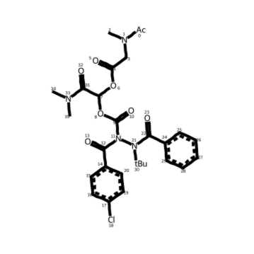 CC(=O)N(C)CC(=O)OC(OC(=O)N(C(=O)c1ccc(Cl)cc1)N(C(=O)c1ccccc1)C(C)(C)C)C(=O)N(C)C